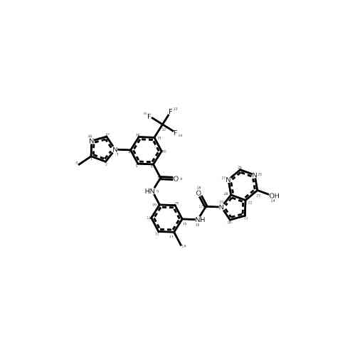 Cc1cn(-c2cc(C(=O)Nc3ccc(C)c(NC(=O)n4ccc5c(O)ncnc54)c3)cc(C(F)(F)F)c2)cn1